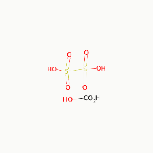 O=C(O)O.O=S(=O)(O)S(=O)(=O)O